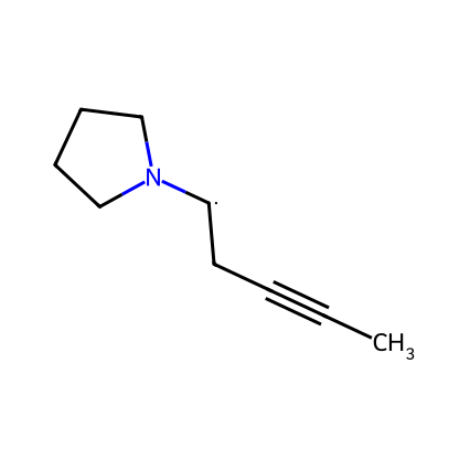 CC#CC[CH]N1CCCC1